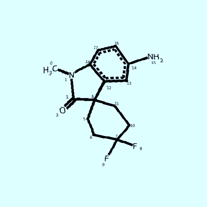 CN1C(=O)C2(CCC(F)(F)CC2)c2cc(N)ccc21